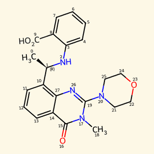 C[C@@H](Nc1ccccc1C(=O)O)c1cccc2c(=O)n(C)c(N3CCOCC3)nc12